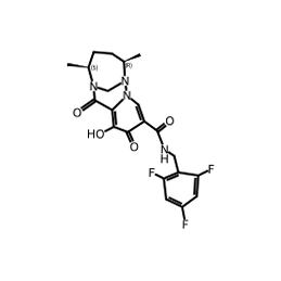 C[C@@H]1CC[C@H](C)N2CN1n1cc(C(=O)NCc3c(F)cc(F)cc3F)c(=O)c(O)c1C2=O